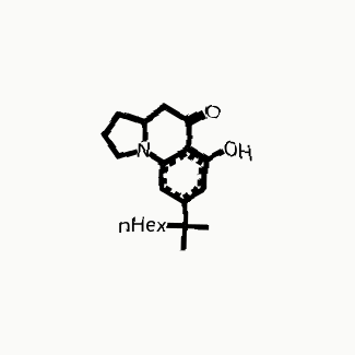 CCCCCCC(C)(C)c1cc(O)c2c(c1)N1CCCC1CC2=O